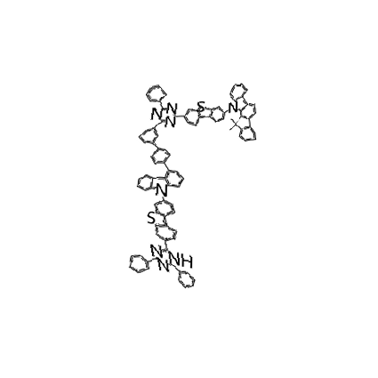 CC1(C)c2ccccc2-c2ccc3c4ccccc4n(-c4ccc5c(c4)sc4cc(-c6nc(-c7ccccc7)nc(-c7cccc(-c8ccc(-c9cccc%10c9c9ccccc9n%10-c9ccc%10c(c9)sc9cc(C%11=NC(c%12ccccc%12)=NC(c%12ccccc%12)N%11)ccc9%10)cc8)c7)n6)ccc45)c3c21